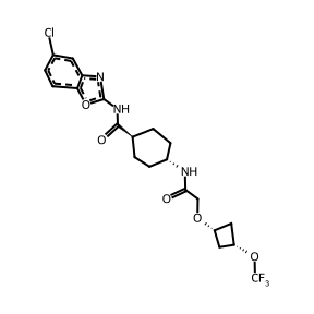 O=C(CO[C@H]1C[C@@H](OC(F)(F)F)C1)N[C@H]1CC[C@H](C(=O)Nc2nc3cc(Cl)ccc3o2)CC1